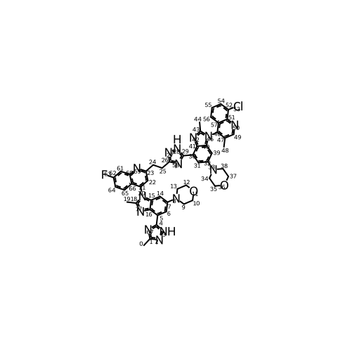 Cc1n[nH]c(-c2cc(N3CCOCC3)cc3c2nc(C)n3-c2cc(CCc3n[nH]c(-c4cc(N5CCOCC5)cc5c4nc(C)n5-c4c(C)cnc5c(Cl)cccc45)n3)nc3cc(F)ccc23)n1